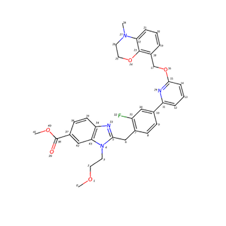 COCCn1c(Cc2ccc(-c3cccc(OCc4cccc5c4OCCN5C)n3)cc2F)nc2ccc(C(=O)OC)cc21